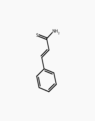 NC(=S)C=Cc1ccccc1